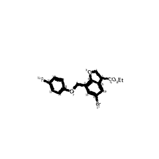 CCOC(=O)c1coc2c(COc3ccc(F)cc3)cc(Br)cc12